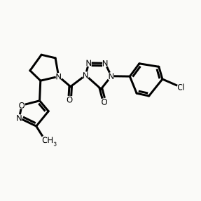 Cc1cc(C2CCCN2C(=O)n2nnn(-c3ccc(Cl)cc3)c2=O)on1